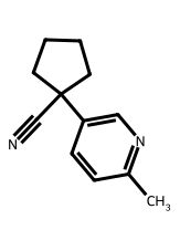 Cc1ccc(C2(C#N)CCCC2)cn1